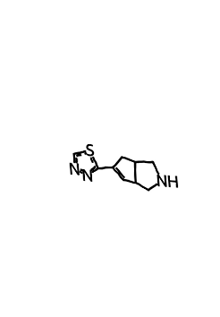 C1=C(c2nncs2)CC2CNCC12